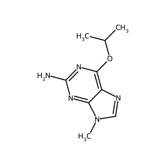 CC(C)Oc1nc(N)nc2c1ncn2C